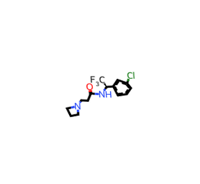 O=C(CCN1CCC1)N[C@H](c1cccc(Cl)c1)C(F)(F)F